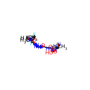 Cc1ncsc1-c1ccc(CNC(=O)[C@@H]2C[C@@H](O)CN2C(=O)[C@@H](NC(=O)CCCCCCCC(=O)N2CCN(Cc3cnc(N4CC=C(c5cc(NC(=O)c6ccc(F)cc6C(F)(F)F)c(N6C[C@@H](C)N(C)[C@@H](C)C6)cc5F)CC4)nc3)CC2)C(C)(C)C)cc1